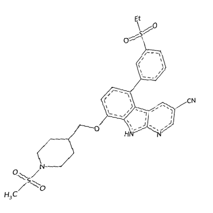 CCS(=O)(=O)c1cccc(-c2ccc(OCC3CCN(S(C)(=O)=O)CC3)c3[nH]c4ncc(C#N)cc4c23)c1